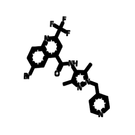 Cc1nn(Cc2ccncc2)c(C)c1NC(=O)c1cc(C(F)(F)F)nc2ccc(Br)cc12